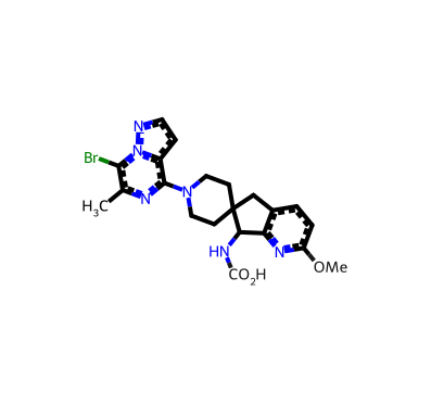 COc1ccc2c(n1)C(NC(=O)O)C1(CCN(c3nc(C)c(Br)n4nccc34)CC1)C2